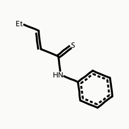 CC/C=C/C(=S)Nc1ccccc1